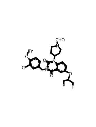 CC(C)Oc1ccc(Cn2c(=O)c3cc(OC(CF)CF)ccc3n(C3CCN(C=O)CC3)c2=O)cc1Cl